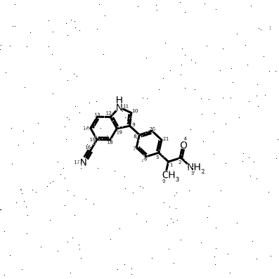 CC(C(N)=O)c1ccc(-c2c[nH]c3ccc(C#N)cc23)cc1